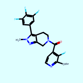 COc1nccc(C(=O)N2CCc3c(nn(C)c3-c3cc(F)c(F)c(F)c3)C2)c1F